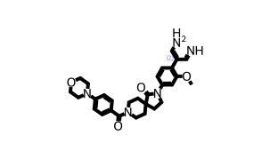 COc1cc(N2CCC3(CCN(C(=O)c4ccc(N5CCOCC5)cc4)CC3)C2=O)ccc1/C(C=N)=C/N